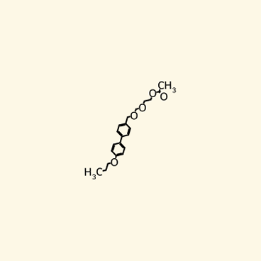 CCCOc1ccc(-c2ccc(COCOCCOC(C)=O)cc2)cc1